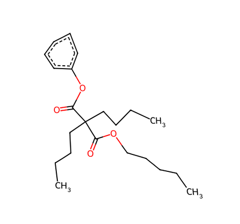 CCCCCOC(=O)C(CCCC)(CCCC)C(=O)Oc1ccccc1